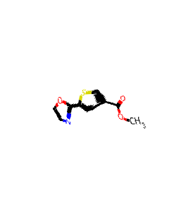 COC(=O)c1csc(-c2ncco2)c1